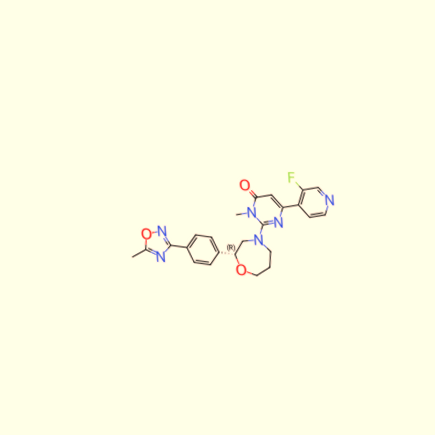 Cc1nc(-c2ccc([C@@H]3CN(c4nc(-c5ccncc5F)cc(=O)n4C)CCCO3)cc2)no1